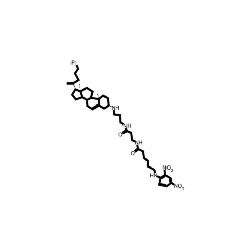 CC(C)CCCC(C)[C@H]1CCC2C3CC=C4C[C@@H](NCCCNC(=O)CCNC(=O)CCCCCNc5ccc([N+](=O)[O-])cc5[N+](=O)[O-])CC[C@]4(C)C3CC[C@@]21C